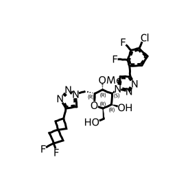 CO[C@@H]1[C@@H](n2cc(-c3ccc(Cl)c(F)c3F)nn2)[C@@H](O)[C@@H](CO)O[C@@H]1Cn1cc(C2CC3(C2)CC(F)(F)C3)nn1